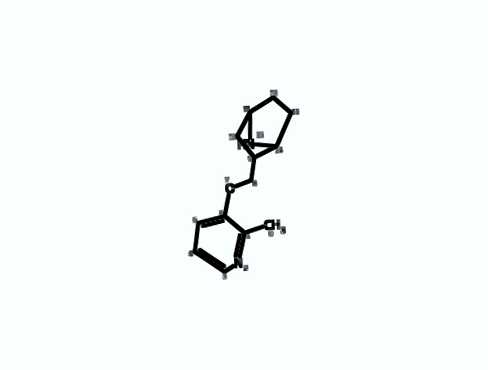 Cc1ncccc1OCC1CC2CCC1N2